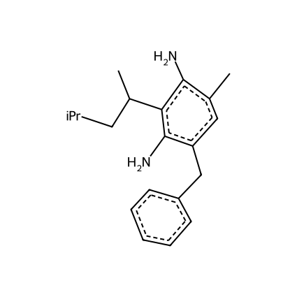 Cc1cc(Cc2ccccc2)c(N)c(C(C)CC(C)C)c1N